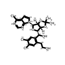 CC1(C)O[C@@H]2[C@H](O1)[C@@H](C(O)c1cc(Cl)c(Cl)cc1CCO)O[C@H]2n1ccc2c(Cl)ncnc21